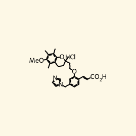 COc1c(C)c(C)c2c(c1C)CCC(C)(CCOc1cc(Cn3ccnc3)ccc1C=CC(=O)O)O2.Cl